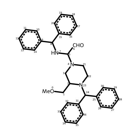 COCC1CN(C(C=O)NC(c2ccccc2)c2ccccc2)CCN1C(c1ccccc1)c1ccccc1